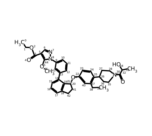 CCOC(=O)c1cnn(-c2cccc(-c3cccc4c3[C@@H](Oc3ccc(C5CCN(C(=O)C(C)O)CC5)c(CC)c3)CC4)c2)c1OC